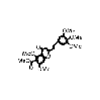 COC(=O)c1c(OC)cc2oc(/C=C/c3cc(OC)c(OC)c(OC)c3)cc(=O)c2c1OC